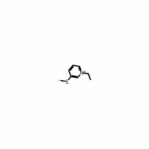 [CH2]Sc1ccc[n+](CC)c1